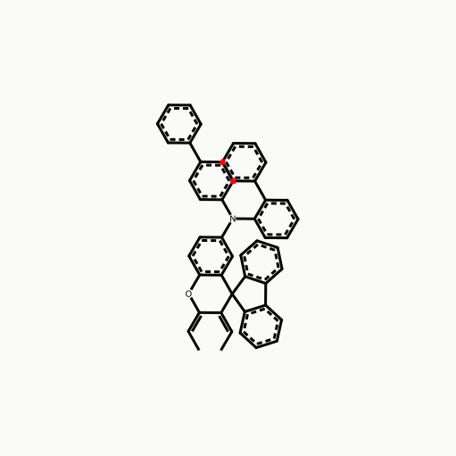 C/C=C1\C(=C/C)Oc2ccc(N(c3ccc(-c4ccccc4)cc3)c3ccccc3-c3ccccc3)cc2C12c1ccccc1-c1ccccc12